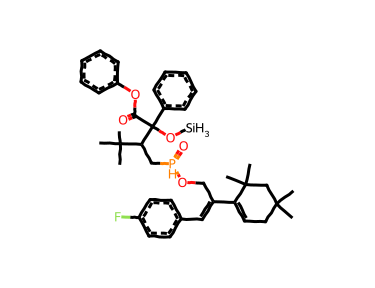 CC1(C)CC=C(C(=Cc2ccc(F)cc2)CO[PH](=O)CC(C(C)(C)C)C(O[SiH3])(C(=O)Oc2ccccc2)c2ccccc2)C(C)(C)C1